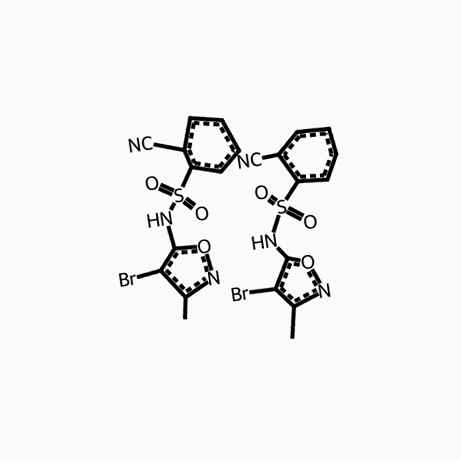 Cc1noc(NS(=O)(=O)c2ccccc2C#N)c1Br.Cc1noc(NS(=O)(=O)c2ccccc2C#N)c1Br